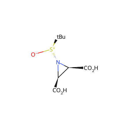 CC(C)(C)[S@+]([O-])[N@@]1[C@H](C(=O)O)[C@@H]1C(=O)O